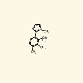 Br.Cc1ccc(-c2nccn2C)c(C)c1C